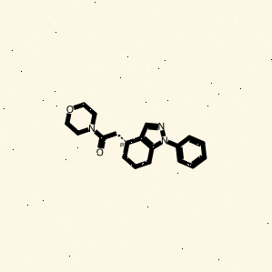 O=C(C[C@H]1CCCc2c1cnn2-c1ccccc1)N1CCOCC1